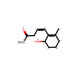 COC(=O)C/C=C\C1=C(C)CCCC1O